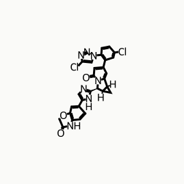 O=C1COc2cc(-c3cnc([C@@H]4[C@H]5C[C@H]5c5cc(-c6cc(Cl)ccc6-n6cc(Cl)nn6)cc(=O)n54)[nH]3)ccc2N1